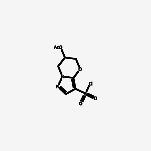 CC(=O)OC1COc2c(S(=O)(=O)Cl)cnn2C1